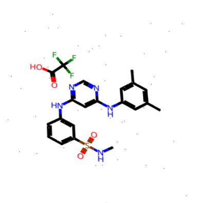 CNS(=O)(=O)c1cccc(Nc2cc(Nc3cc(C)cc(C)c3)ncn2)c1.O=C(O)C(F)(F)F